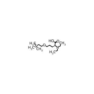 CCN(CC)[C@@H](CCCOCC[Si](C)(C)C)C(=O)O